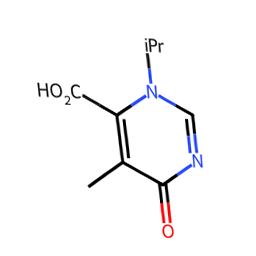 Cc1c(C(=O)O)n(C(C)C)cnc1=O